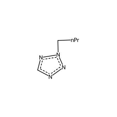 CCCCn1ncnn1